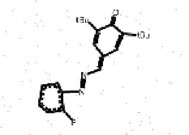 CC(C)(C)C1=CC(=CN=Nc2ccccc2F)C=C(C(C)(C)C)C1=O